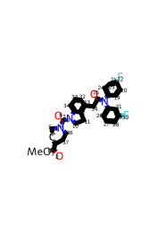 COC(=O)C1CCN(C(=O)N2CCc3c(CC(=O)N(c4ccc(F)cc4)c4cccc(F)c4)cccc32)CC1